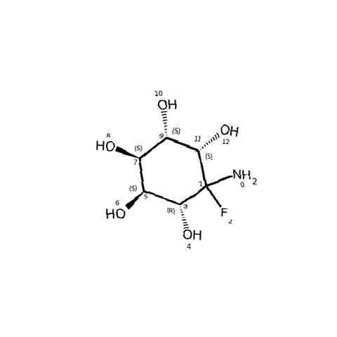 NC1(F)[C@H](O)[C@@H](O)[C@@H](O)[C@H](O)[C@@H]1O